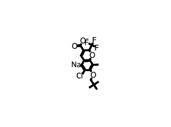 Cc1c(OCC(C)(C)C)c(Cl)cc2c1OC(C(F)(F)F)C(C(=O)[O-])=C2.[Na+]